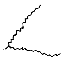 [CH2]C(CCCCCCCCCCCCCCCCCCCCCC)CCCCCCCCCCCCCCCCCCCCCC